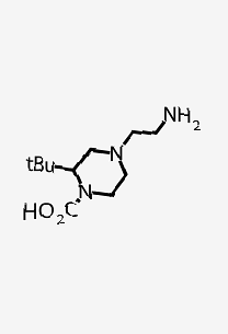 CC(C)(C)C1CN(CCN)CCN1C(=O)O